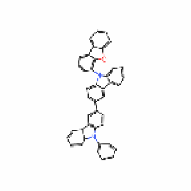 C1=CC2c3cc(-c4ccc5c(c4)c4ccccc4n5-c4cccc5c4oc4ccccc45)ccc3N(c3ccccc3)C2C=C1